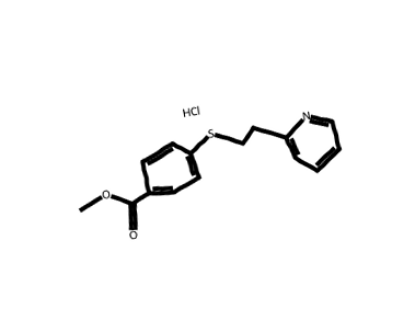 COC(=O)c1ccc(SCCc2ccccn2)cc1.Cl